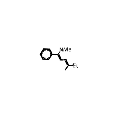 CC/C(C)=C/C=C(\NC)c1ccccc1